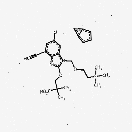 C#Cc1cc(Cl)cc2c1nc(OCC(C)(C)C(=O)O)n2COCC[Si](C)(C)C.c1cc2cc-2c1